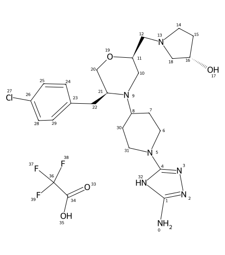 Nc1nnc(N2CCC(N3C[C@H](CN4CC[C@H](O)C4)OC[C@@H]3Cc3ccc(Cl)cc3)CC2)[nH]1.O=C(O)C(F)(F)F